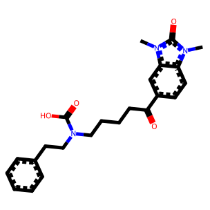 Cn1c(=O)n(C)c2cc(C(=O)CCCCN(CCc3ccccc3)C(=O)O)ccc21